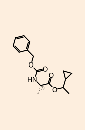 CC(OC(=O)[C@H](C)NC(=O)OCc1ccccc1)C1CC1